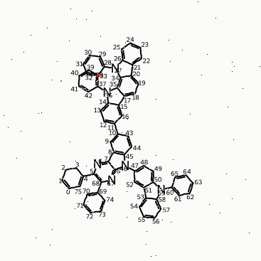 C1=CCCC(c2nc3c4cc(-c5ccc6c(c5)c5ccc7c8ccccc8n(-c8ccccc8)c7c5n6-c5ccccc5)ccc4n(-c4ccc5c(c4)c4ccccc4n5-c4ccccc4)c3nc2-c2ccccc2)=C1